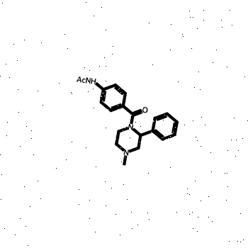 CC(=O)Nc1ccc(C(=O)N2CCN(C)CC2c2ccccc2)cc1